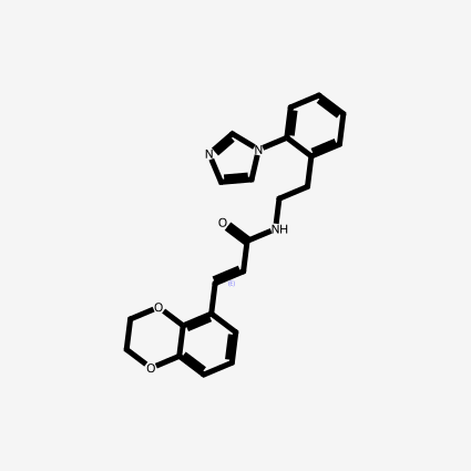 O=C(/C=C/c1cccc2c1OCCO2)NCCc1ccccc1-n1ccnc1